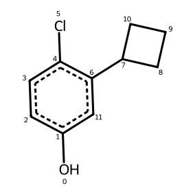 Oc1ccc(Cl)c(C2CCC2)c1